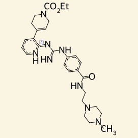 CCOC(=O)N1CC=C(c2ccc[nH]/c2=N\C(=N)Nc2ccc(C(=O)NCCN3CCN(C)CC3)cc2)CC1